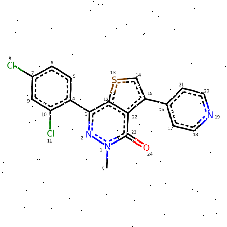 Cn1nc(-c2ccc(Cl)cc2Cl)c2scc(-c3ccncc3)c2c1=O